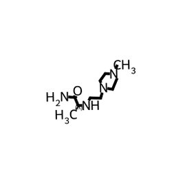 C[C@@H](NCCN1CCN(C)CC1)C(N)=O